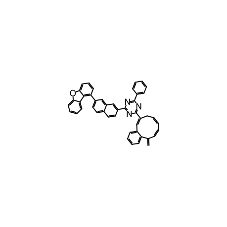 C=C1/C=C\C=C/C/C(c2nc(-c3ccccc3)nc(-c3ccc4ccc(-c5cccc6oc7ccccc7c56)cc4c3)n2)=C\c2ccccc21